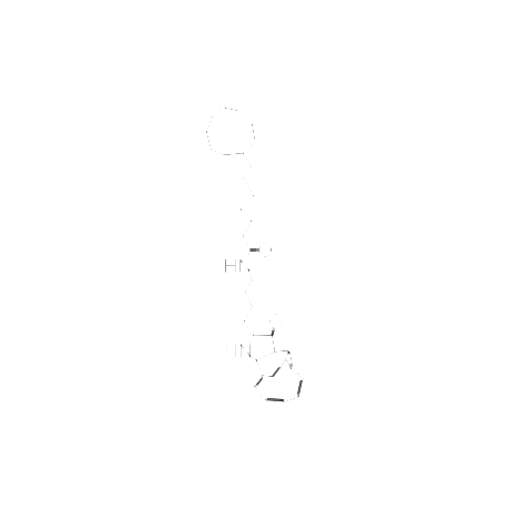 O=C(CCCCCCC1CCCCCCCC1)NCCCCC1NC2/C3=C/C=C\C=C/C=C(C=C3)/C2C1=O